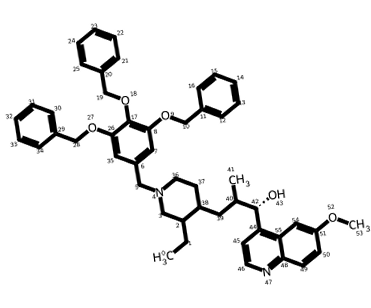 CCC1CN(Cc2cc(OCc3ccccc3)c(OCc3ccccc3)c(OCc3ccccc3)c2)CCC1CC(C)[C@H](O)c1ccnc2ccc(OC)cc12